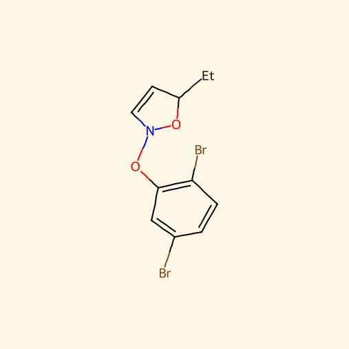 CCC1C=CN(Oc2cc(Br)ccc2Br)O1